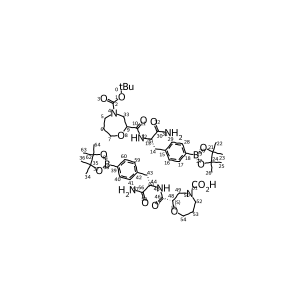 CC(C)(C)OC(=O)N1CCCOC(C(=O)N[C@@H](Cc2ccc(B3OC(C)(C)C(C)(C)O3)cc2)C(N)=O)C1.CC1(C)OB(c2ccc(C[C@H](NC(=O)[C@@H]3CN(C(=O)O)CCCO3)C(N)=O)cc2)OC1(C)C